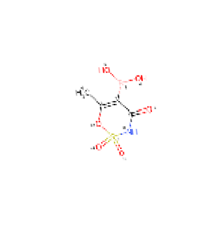 CC1=C(B(O)O)C(=O)NS(=O)(=O)O1